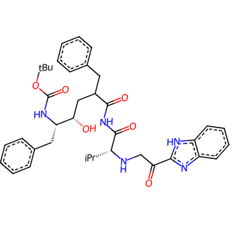 CC(C)[C@@H](NCC(=O)c1nc2ccccc2[nH]1)C(=O)NC(=O)C(Cc1ccccc1)C[C@H](O)[C@H](Cc1ccccc1)NC(=O)OC(C)(C)C